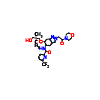 CC(C)(CO)COc1cc2nn(CC(=O)N3CCOCC3)cc2cc1NC(=O)c1cccc(C(F)(F)F)n1